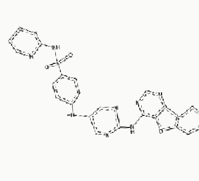 O=S(=O)(Nc1ncccn1)c1ccc(Nc2cnc(Nc3ncnc4c3oc3ccccc34)nc2)cc1